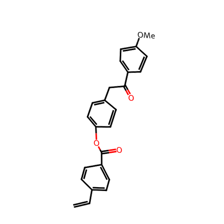 C=Cc1ccc(C(=O)Oc2ccc(CC(=O)c3ccc(OC)cc3)cc2)cc1